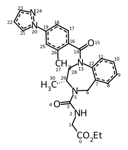 CCOC(=O)CNC(=O)N1Cc2ccccc2N(C(=O)c2ccc(-n3cccn3)cc2C)C[C@H]1C